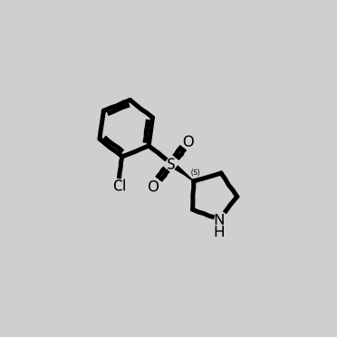 O=S(=O)(c1ccccc1Cl)[C@H]1CCNC1